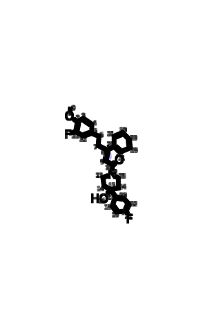 COc1ccc(CC/C(=C/C(=O)N2CCC(O)(c3ccc(F)cc3)CC2)c2ccccc2)cc1F